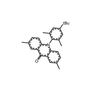 Cc1ccc2c(c1)c(=O)c1cc(C)ccc1n2-c1c(C)cc(C(C)(C)C)cc1C